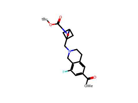 COC(=O)c1cc(F)c2c(c1)CCN(CC13CC(C1)N(C(=O)OC(C)(C)C)C3)C2